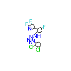 Fc1ccc(CNc2nnnn2-c2cccc(Cl)c2Cl)c(-c2cnc(F)c(F)c2)c1